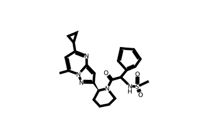 Cc1cc(C2CC2)nc2cc([C@@H]3CCCCN3C(=O)C(NS(C)(=O)=O)c3ccccc3)nn12